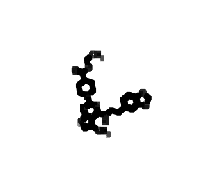 CCOC(=O)C1CCN(c2nc(NCCc3ccc4c(c3)OCO4)c3c(C)csc3n2)CC1